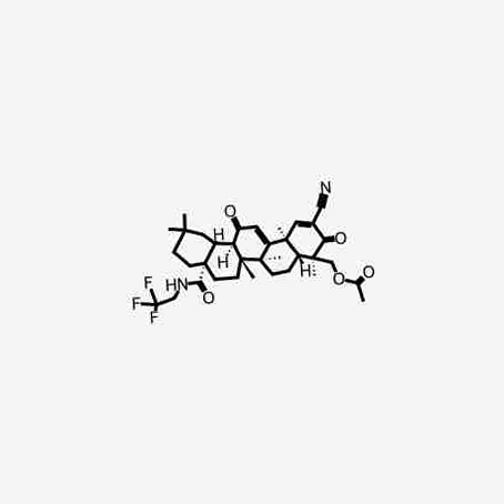 CC(=O)OC[C@]1(C)C(=O)C(C#N)=C[C@]2(C)C3=CC(=O)[C@@H]4[C@@H]5CC(C)(C)CC[C@]5(C(=O)NCC(F)(F)F)CC[C@@]4(C)[C@]3(C)CC[C@H]21